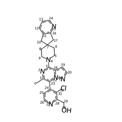 Cc1nc(N2CCC3(CC2)Cc2cccnc2C3)c2ccnn2c1-c1ccnc(CO)c1Cl